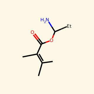 CCC(N)OC(=O)C(C)=C(C)C